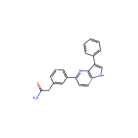 NC(=O)Cc1cccc(-c2ccc3[nH]cc(-c4ccccc4)c3n2)c1